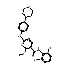 CCOc1nc(Nc2ccc(N3CCOCC3)cc2)ncc1C(=O)Nc1c(Cl)cccc1Cl